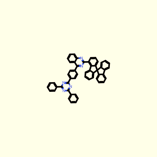 c1ccc(-c2nc(-c3ccccc3)nc(-c3ccc(-c4nc(-c5cccc6c5-c5ccccc5C65c6ccccc6-c6ccccc65)nc5ccccc45)cc3)n2)cc1